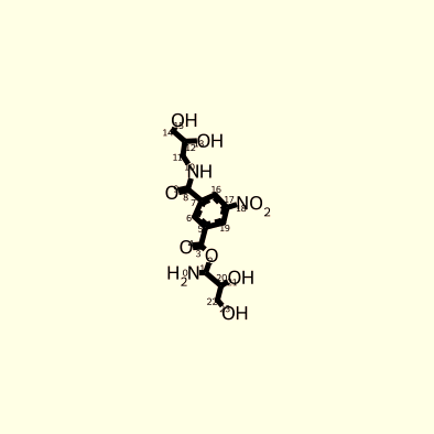 NC(OC(=O)c1cc(C(=O)NCC(O)CO)cc([N+](=O)[O-])c1)C(O)CO